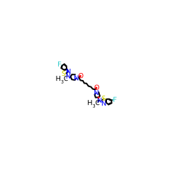 CN(c1nc2ccc(F)cc2s1)C1CCN(C(=O)CCCCCCCC(=O)N2CCC(N(C)c3nc4ccc(F)cc4s3)CC2)CC1